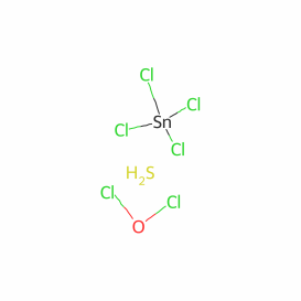 ClOCl.S.[Cl][Sn]([Cl])([Cl])[Cl]